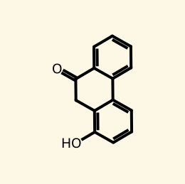 O=C1Cc2c(O)cccc2-c2ccccc21